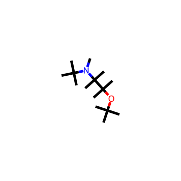 CN(C(C)(C)C)C(C)(C)C(C)(C)OC(C)(C)C